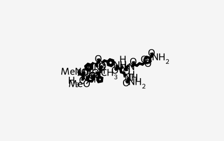 CCC(C)C([C@@H](CC(=O)N1CCCC1C(OC)C(C)C(=O)N[C@@H](Cc1ccccc1)C(=O)NCc1ccc(NC(=O)C(CCCNC(N)=O)NC(=O)CNC(=O)CCCC2OCC(C(N)=O)CO2)cc1)OC)N(C)C(=O)CNC